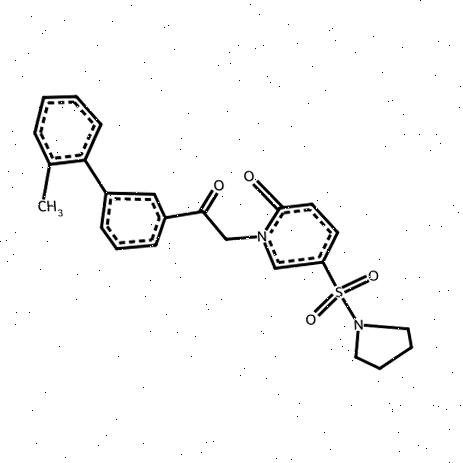 Cc1ccccc1-c1cccc(C(=O)Cn2cc(S(=O)(=O)N3CCCC3)ccc2=O)c1